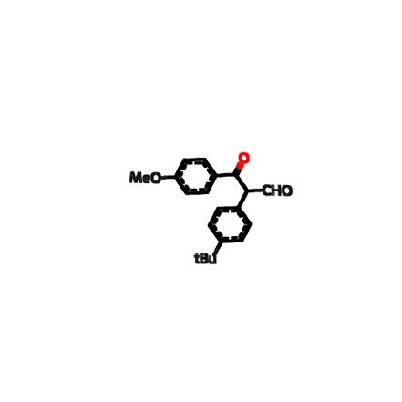 COc1ccc(C(=O)C(C=O)c2ccc(C(C)(C)C)cc2)cc1